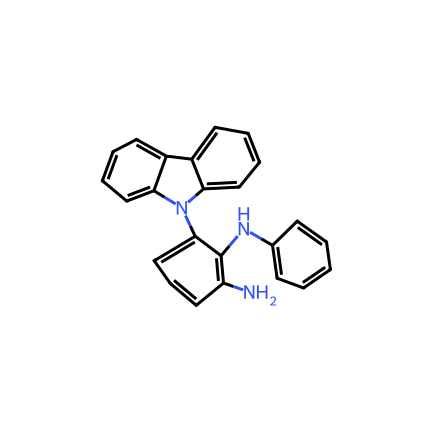 Nc1cccc(-n2c3ccccc3c3ccccc32)c1Nc1ccccc1